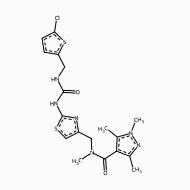 Cc1nn(C)c(C)c1C(=O)N(C)Cc1csc(NC(=O)NCc2ccc(Cl)s2)n1